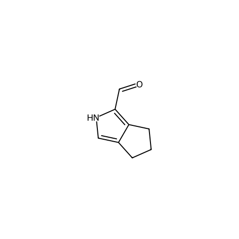 O=Cc1[nH]cc2c1CCC2